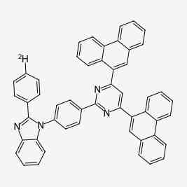 [2H]c1ccc(-c2nc3ccccc3n2-c2ccc(-c3nc(-c4cc5ccccc5c5ccccc45)cc(-c4cc5ccccc5c5ccccc45)n3)cc2)cc1